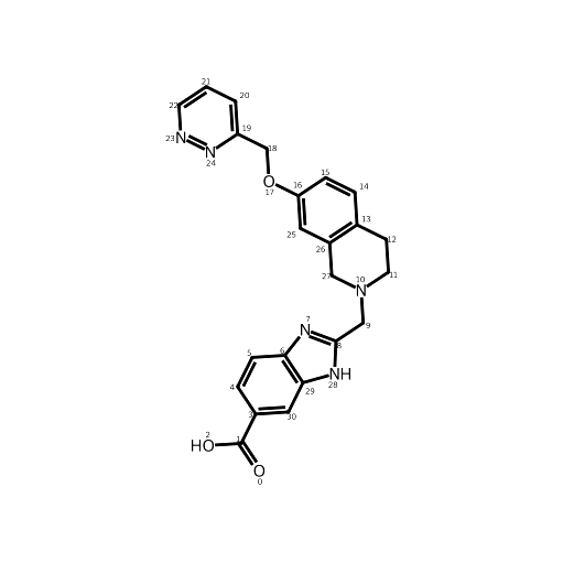 O=C(O)c1ccc2nc(CN3CCc4ccc(OCc5cccnn5)cc4C3)[nH]c2c1